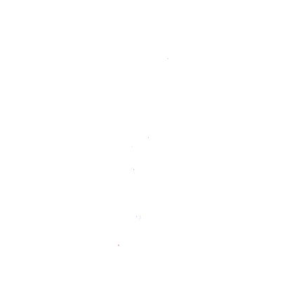 O=C(O)NC1CCN(C(=O)Nc2ccc(OC(F)(F)F)cc2)CC1